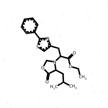 CCOC(=O)C(Cc1csc(-c2ccccc2)n1)N1COC(=O)C1CC(C)C